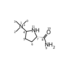 C[N+](C)(C)C1CC[C@@H](C(N)=O)N1